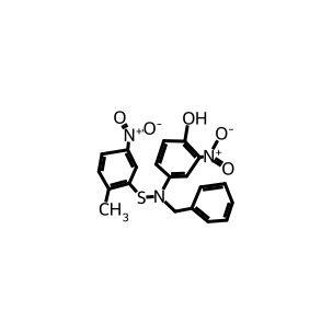 Cc1ccc([N+](=O)[O-])cc1SN(Cc1ccccc1)c1ccc(O)c([N+](=O)[O-])c1